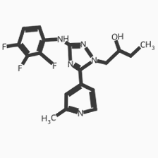 CCC(O)Cn1nc(Nc2ccc(F)c(F)c2F)nc1-c1ccnc(C)c1